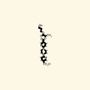 CCCC=CCOC(=O)[C@@H](C)OC(=O)c1ccc(N2CCN(c3ccc(C(=O)O)cn3)CC2)nc1